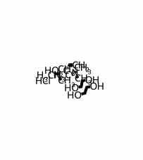 C=CC(=O)O.CN(C)C.CN(C)C.Cl.OCCO.OCCO